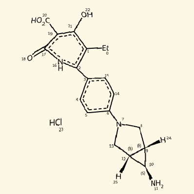 CCc1c(-c2ccc(N3C[C@@H]4[C@@H](N)[C@@H]4C3)cc2)[nH]c(=O)c(C(=O)O)c1O.Cl